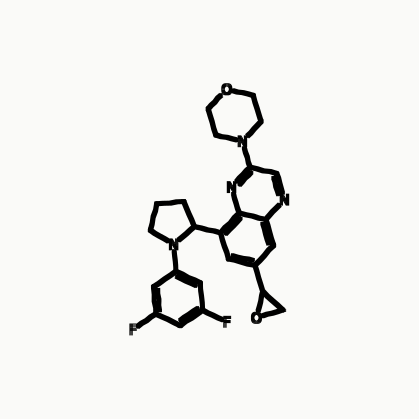 Fc1cc(F)cc(N2CCCC2c2cc(C3CO3)cc3ncc(N4CCOCC4)nc23)c1